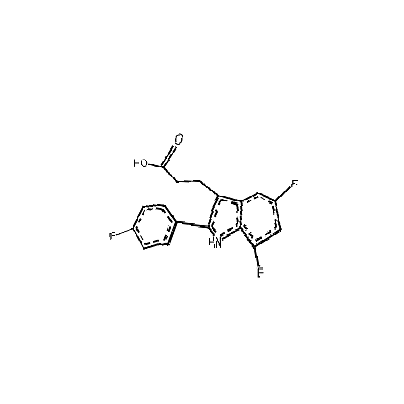 O=C(O)CCc1c(-c2ccc(F)cc2)[nH]c2c(F)cc(F)cc12